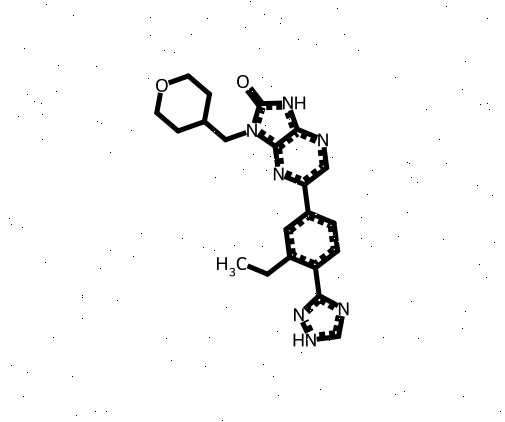 CCc1cc(-c2cnc3[nH]c(=O)n(CC4CCOCC4)c3n2)ccc1-c1nc[nH]n1